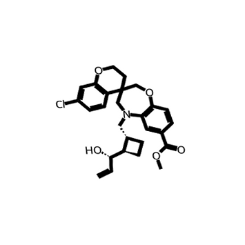 C=C[C@H](O)[C@@H]1CC[C@H]1CN1CC2(CCOc3cc(Cl)ccc32)COc2ccc(C(=O)OC)cc21